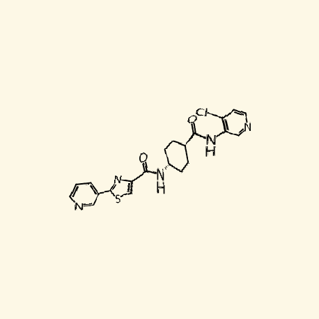 O=C(N[C@H]1CC[C@H](C(=O)Nc2cnccc2Cl)CC1)c1csc(-c2cccnc2)n1